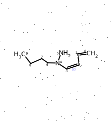 C=C/C=C\N(N)CCCC